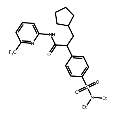 CCN(CC)S(=O)(=O)c1ccc(C(CC2CCCC2)C(=O)Nc2cccc(C(F)(F)F)n2)cc1